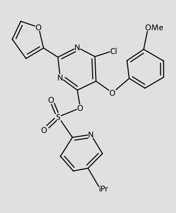 COc1cccc(Oc2c(Cl)nc(-c3ccco3)nc2OS(=O)(=O)c2ccc(C(C)C)cn2)c1